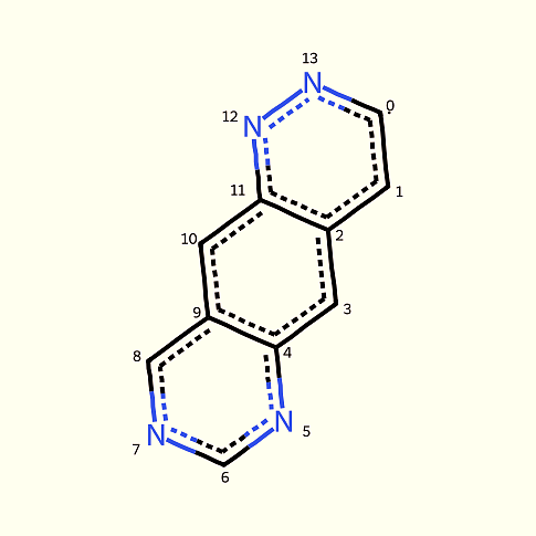 [c]1cc2cc3ncncc3cc2nn1